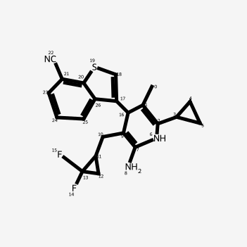 CC1=C(C2CC2)NC(N)=C(CC2CC2(F)F)C1c1csc2c(C#N)cccc12